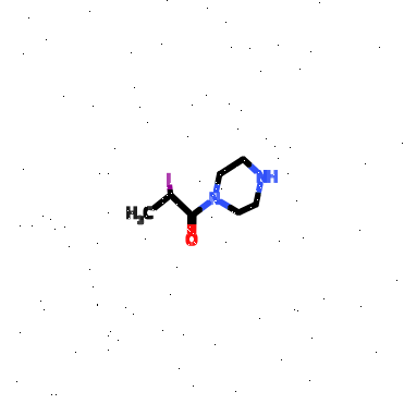 CC(I)C(=O)N1CCNCC1